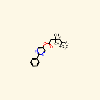 CC(=O)C(CC(C)(C)CC(=O)Oc1cnc(-c2ccccc2)nc1)C(=O)O